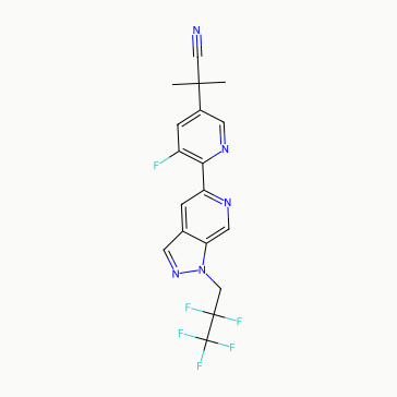 CC(C)(C#N)c1cnc(-c2cc3cnn(CC(F)(F)C(F)(F)F)c3cn2)c(F)c1